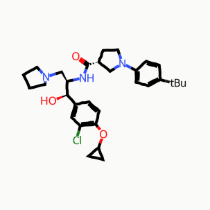 CC(C)(C)c1ccc(N2CC[C@@H](C(=O)N[C@H](CN3CCCC3)[C@H](O)c3ccc(OC4CC4)c(Cl)c3)C2)cc1